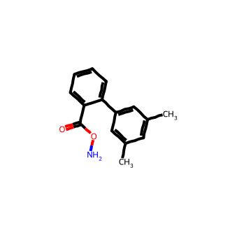 Cc1cc(C)cc(-c2ccccc2C(=O)ON)c1